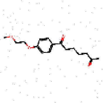 COCCOc1ccc(C(=O)CCCCC(C)=O)cc1